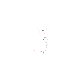 CC1(C)OB(c2ccc(C=C3CN(C(=O)C4CCS(=O)(=O)CC4)C3)cc2)OC1(C)C